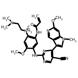 C=CC(=O)Nc1cc(Nc2ncc(C#N)c(-c3cn(C)c4cc(OC)ncc34)n2)c(OC)cc1N(C)CCN(C)C